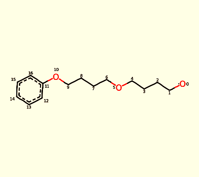 [O]CCCCOCCCCOc1ccccc1